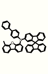 Cc1cccc2c1oc1c(N(c3ccc(-c4ccccc4)cc3)c3ccc4c(c3)C3(c5ccccc5-c5ccccc53)c3ccccc3-4)cccc12